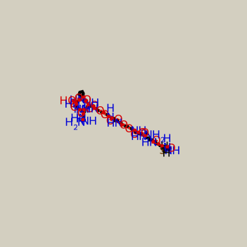 N=C(N)NCCCC1NC(=O)[C@H](CCC(=O)NCCOCCOCCNC(=O)CCC(=O)NCCOCCOCCNC(=O)CCC(=O)N[C@@H](CCCCNC(=O)CCCC[C@@H]2SC[C@@H]3NC(=O)N[C@@H]32)C(N)=O)NC(=O)[C@@H](Cc2ccccc2)NC(=O)[C@H](CC(=O)O)NC(=O)CNC1=O